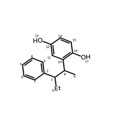 CCC(c1ccccc1)C(C)c1cc(O)ccc1O